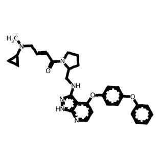 CN(CC=CC(=O)N1CCCC1CNc1n[nH]c2nccc(Oc3ccc(Oc4ccccc4)cc3)c12)C1CC1